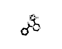 O=C(c1ccccc1)N1CCOCC1c1nnn[nH]1